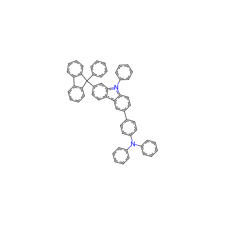 c1ccc(N(c2ccccc2)c2ccc(-c3ccc4c(c3)c3ccc(C5(c6ccccc6)c6ccccc6-c6ccccc65)cc3n4-c3ccccc3)cc2)cc1